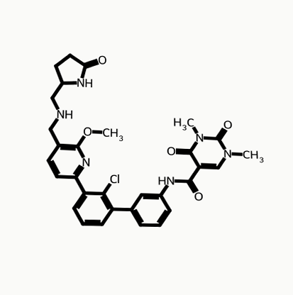 COc1nc(-c2cccc(-c3cccc(NC(=O)c4cn(C)c(=O)n(C)c4=O)c3)c2Cl)ccc1CNCC1CCC(=O)N1